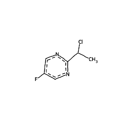 CC(Cl)c1ncc(F)cn1